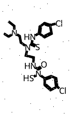 CCN(CC)CCN(CCNC(=O)N(S)c1ccc(Cl)cc1)C(=S)Nc1ccc(Cl)cc1